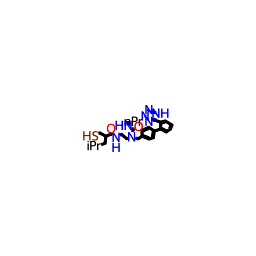 CCCNC(=O)N(CCNC(=O)C(CS)CC(C)C)Cc1ccc(-c2ccccc2-c2nnn[nH]2)cc1